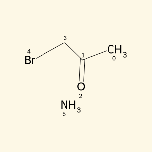 CC(=O)CBr.N